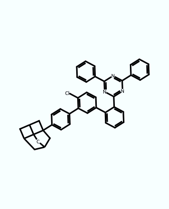 Clc1ccc(-c2ccccc2-c2nc(-c3ccccc3)nc(-c3ccccc3)n2)cc1-c1ccc(C23CC4CC5CC(C2)C53C4)cc1